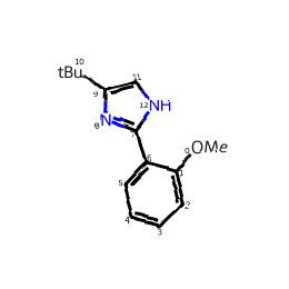 COc1ccccc1-c1nc(C(C)(C)C)c[nH]1